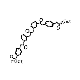 CCCCCCCCC(=O)Cc1ccc(CC(=O)c2cccc(CC(=O)Cc3cccc(C(=O)Cc4ccc(CC(=O)CCCCCCCC)cc4)c3)c2)cc1